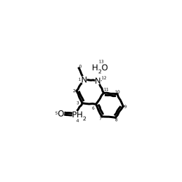 CN1C=C([PH2]=O)c2ccccc2[N]1.O